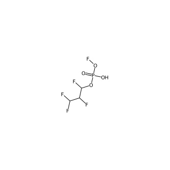 O=P(O)(OF)OC(F)C(F)C(F)F